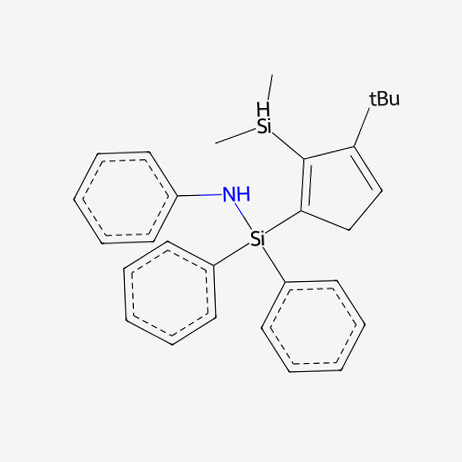 C[SiH](C)C1=C([Si](Nc2ccccc2)(c2ccccc2)c2ccccc2)CC=C1C(C)(C)C